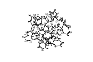 c1ccc(-c2nc3ccccc3n2-c2cc(-n3c(-c4ccccc4)nc4ccccc43)cc(C3(c4cc(-n5c(-c6ccccc6)nc6ccccc65)cc(-n5c(-c6ccccc6)nc6ccccc65)c4)c4ccccc4-c4ccccc43)c2)cc1